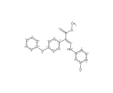 COC(=O)/C(=C/Nc1cc(Cl)ncn1)c1ccc(Oc2ccccc2)cc1